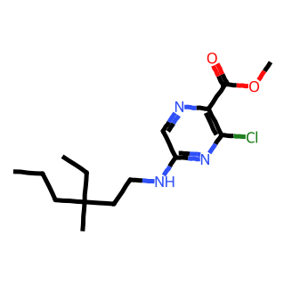 CCCC(C)(CC)CCNc1cnc(C(=O)OC)c(Cl)n1